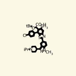 Cc1cc2nc(-c3ccc4c(c3)c(C3CCN(C(C)C)CC3)nn4C)sc2c(-c2ccc(Cl)cc2)c1[C@H](OC(C)(C)C)C(=O)O